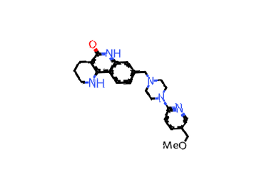 COCc1ccc(N2CCN(Cc3ccc4c5c(c(=O)[nH]c4c3)CCCN5)CC2)nc1